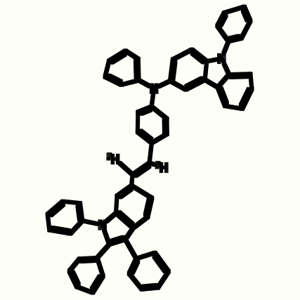 [2H]/C(=C(/[2H])c1ccc2c(-c3ccccc3)c(-c3ccccc3)n(-c3ccccc3)c2c1)c1ccc(N(c2ccccc2)c2ccc3c(c2)c2ccccc2n3-c2ccccc2)cc1